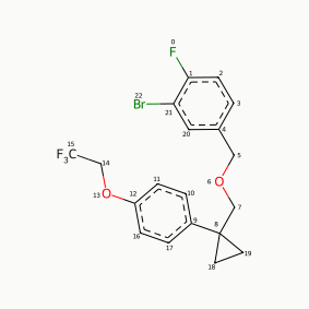 Fc1ccc(COCC2(c3ccc(OCC(F)(F)F)cc3)CC2)cc1Br